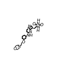 O=C1NC(=O)C(=Cc2cnn3ccc(Nc4cccc(OCCN5CCOCC5)c4)nc23)N1